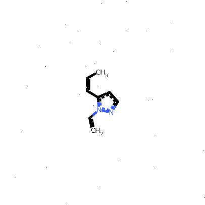 C=Cn1nccc1/C=C\C